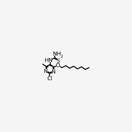 CCCCCCCCOc1nc(Cl)nc(C)c1NC(N)=S